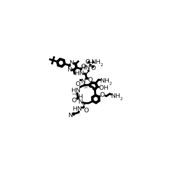 Cc1nc(-c2ccc(C(C)(C)C)cc2)nc(C)c1C(=O)N[C@@H](CNS(N)(=O)=O)C(=O)N(C)[C@@H]1C(=O)N[C@@H](C)C(=O)N[C@H](C(=O)NCC#N)Cc2ccc(OCCN)c(c2)-c2cc1cc(CN)c2O